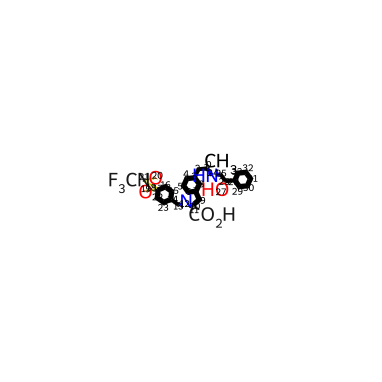 CC(Cc1ccc2c(c1)cc(C(=O)O)n2Cc1ccc(S(=O)(=O)NC(F)(F)F)cc1)NCC(O)c1ccccc1